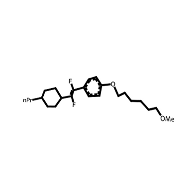 CCCC1CCC(/C(F)=C(\F)c2ccc(OCCCCCCOC)cc2)CC1